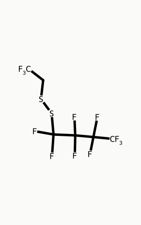 FC(F)(F)CSSC(F)(F)C(F)(F)C(F)(F)C(F)(F)F